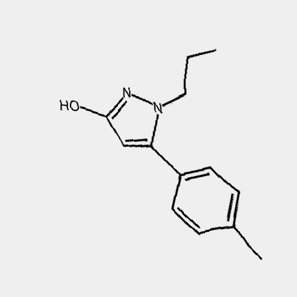 CCCn1nc(O)cc1-c1ccc(C)cc1